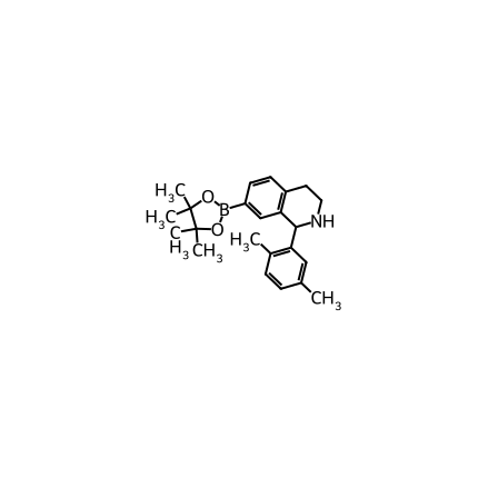 Cc1ccc(C)c(C2NCCc3ccc(B4OC(C)(C)C(C)(C)O4)cc32)c1